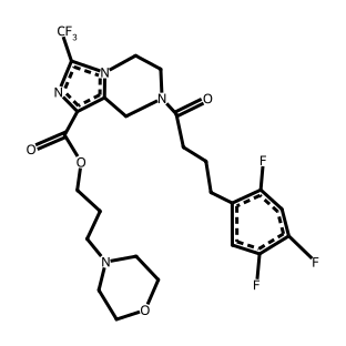 O=C(OCCCN1CCOCC1)c1nc(C(F)(F)F)n2c1CN(C(=O)CCCc1cc(F)c(F)cc1F)CC2